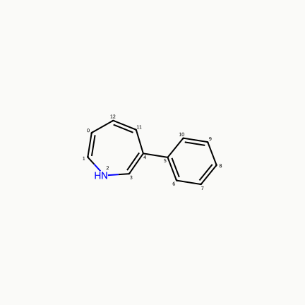 C1=CNC=C(c2ccccc2)C=C1